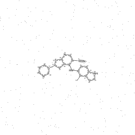 Cc1c(Nc2c(C#N)cnc3sc(-c4cccnc4)cc23)ccc2[nH]ccc12